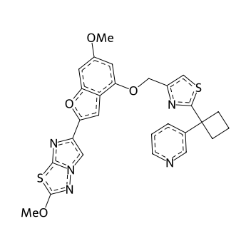 COc1cc(OCc2csc(C3(c4cccnc4)CCC3)n2)c2cc(-c3cn4nc(OC)sc4n3)oc2c1